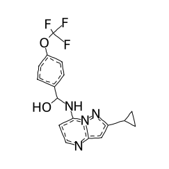 OC(Nc1ccnc2cc(C3CC3)nn12)c1ccc(OC(F)(F)F)cc1